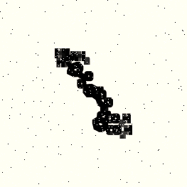 N=C(N)Nc1ccc(C(=O)Oc2ccc3c(c2)COC3CC(=O)N(CC(=O)O)Cc2cccc(C(=O)O)c2)cc1